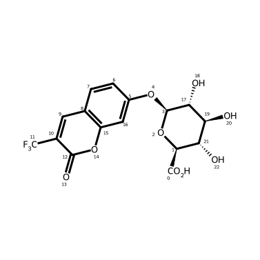 O=C(O)[C@H]1O[C@@H](Oc2ccc3cc(C(F)(F)F)c(=O)oc3c2)[C@H](O)[C@@H](O)[C@@H]1O